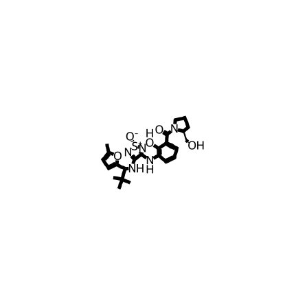 Cc1ccc(C(Nc2n[s+]([O-])nc2Nc2cccc(C(=O)N3CCC[C@H]3CO)c2O)C(C)(C)C)o1